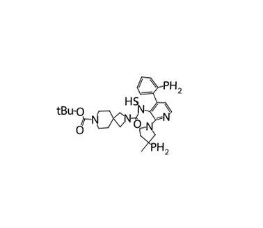 CC1(P)CCN(c2nccc(-c3ccccc3P)c2N(S)C(=O)N2CC3(CCN(C(=O)OC(C)(C)C)CC3)C2)C1